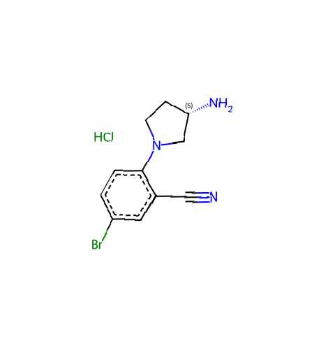 Cl.N#Cc1cc(Br)ccc1N1CC[C@H](N)C1